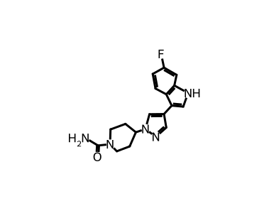 NC(=O)N1CCC(n2cc(-c3c[nH]c4cc(F)ccc34)cn2)CC1